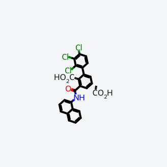 CC(=O)O.O=C(Nc1cccc2ccccc12)c1cccc(-c2ccc(Cl)c(Cl)c2Cl)c1C(=O)O